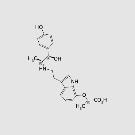 C[C@H](Oc1cccc2c(CCN[C@@H](C)[C@H](O)c3ccc(O)cc3)c[nH]c12)C(=O)O